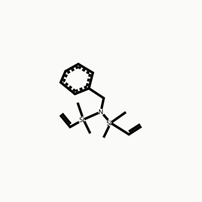 C=C[Si](C)(C)N(Cc1ccccc1)[Si](C)(C)C=C